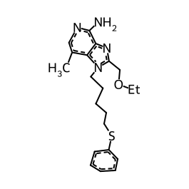 CCOCc1nc2c(N)ncc(C)c2n1CCCCCSc1ccccc1